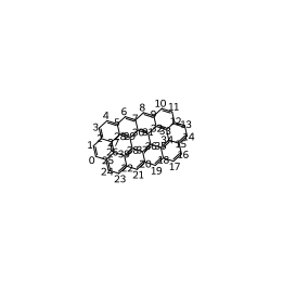 c1cc2ccc3cc4cc5ccc6ccc7ccc8cc9cc%10ccc1c1c2c3c2c4c3c5c6c7c8c3c9c2c%101